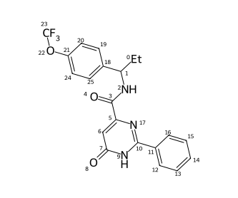 CCC(NC(=O)c1cc(=O)[nH]c(-c2ccccc2)n1)c1ccc(OC(F)(F)F)cc1